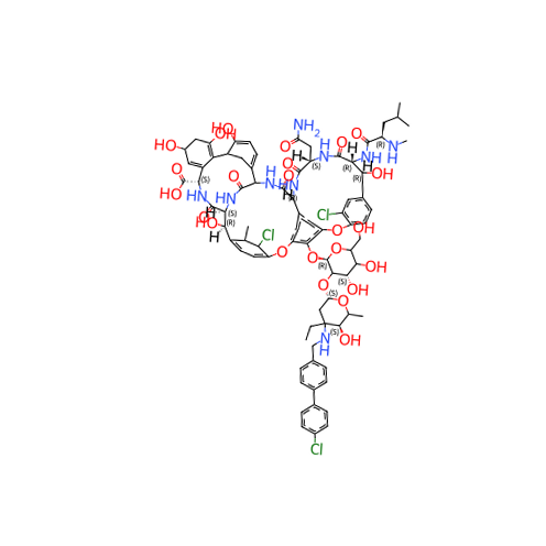 CCC1(NCc2ccc(-c3ccc(Cl)cc3)cc2)C[C@H](OC2[C@@H](Oc3c4cc5cc3Oc3ccc(cc3Cl)[C@@H](O)[C@@H](NC(=O)[C@@H](CC(C)C)NC)C(=O)N[C@@H](CC(N)=O)C(=O)N[C@H]5C(=O)NC3C(=O)N[C@H](C(=O)N[C@H](C(=O)O)C5=CC(O)CC(O)=C5C5CC3=CC=C5O)[C@H](O)C3=CC=C(O4)C(Cl)C3C)OC(CO)C(O)[C@@H]2O)OC(C)[C@H]1O